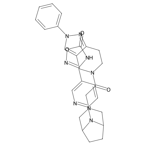 O=C(CN1CC2CCC(C1)N2c1ccc(-c2noc(=O)[nH]2)cn1)N1CCc2nn(-c3ccccc3)cc2C1